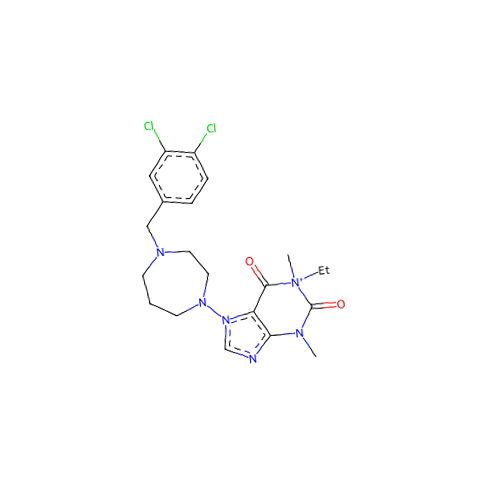 CC[N+]1(C)C(=O)c2c(ncn2N2CCCN(Cc3ccc(Cl)c(Cl)c3)CC2)N(C)C1=O